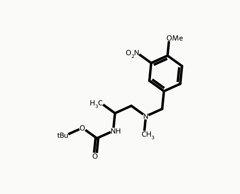 COc1ccc(CN(C)CC(C)NC(=O)OC(C)(C)C)cc1[N+](=O)[O-]